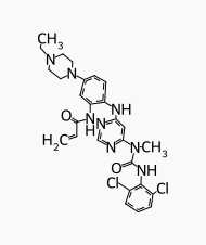 C=CC(=O)Nc1cc(N2CCN(CC)CC2)ccc1Nc1cc(N(C)C(=O)Nc2c(Cl)cccc2Cl)ncn1